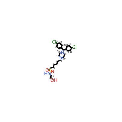 O=S(=O)(CCCCCCN1CCN(C(c2ccc(Cl)cc2)c2ccc(Cl)cc2)CC1)NCCO